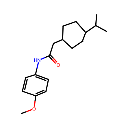 COc1ccc(NC(=O)CC2C[CH]C(C(C)C)CC2)cc1